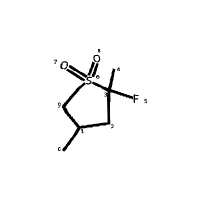 CC1CC(C)(F)S(=O)(=O)C1